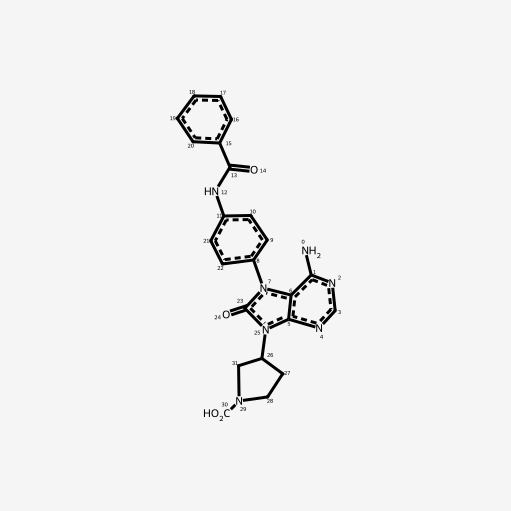 Nc1ncnc2c1n(-c1ccc(NC(=O)c3ccccc3)cc1)c(=O)n2C1CCN(C(=O)O)C1